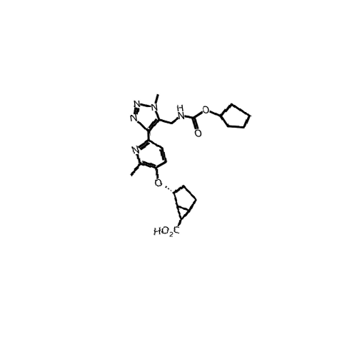 Cc1nc(-c2nnn(C)c2CNC(=O)OC2CCCC2)ccc1O[C@@H]1CCC2C(C(=O)O)C21